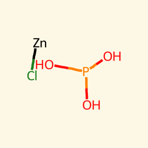 OP(O)O.[Cl][Zn]